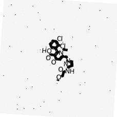 CCn1c(Cn2ccc(NC(=O)COC)n2)cc(=O)c(C(=O)O)c1-c1cccc(Cl)c1Cl